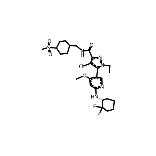 CCn1nc(C(=O)NCC2CCC(S(C)(=O)=O)CC2)c(Cl)c1-c1cnc(N[C@@H]2CCCCC2(F)F)cc1OC